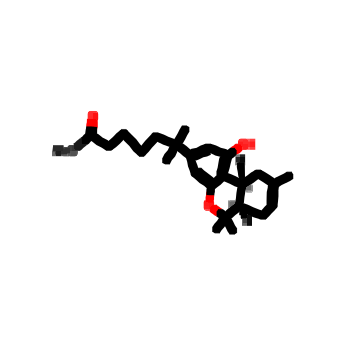 COC(=O)CCCCC(C)(C)c1cc(O)c2c(c1)OC(C)(C)[C@@H]1CC=C(C)C[C@@H]21